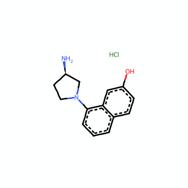 Cl.N[C@@H]1CCN(c2cccc3ccc(O)cc23)C1